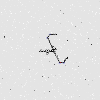 CCCCC/C=C\C/C=C\CCCCCCCCOc1cc(COC(=O)OCCCN(C)C)cc(OCCCCCCCC/C=C\C/C=C\CCCCC)c1C(C)C